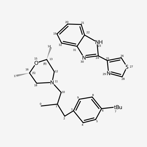 CC(Cc1ccc(C(C)(C)C)cc1)CN1C[C@@H](C)O[C@@H](C)C1.c1ccc2[nH]c(-c3cscn3)nc2c1